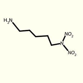 NCCCCCN([N+](=O)[O-])[N+](=O)[O-]